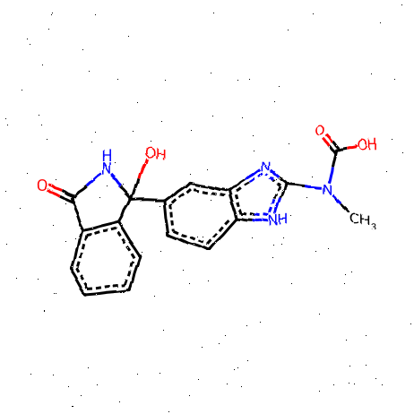 CN(C(=O)O)c1nc2cc(C3(O)NC(=O)c4ccccc43)ccc2[nH]1